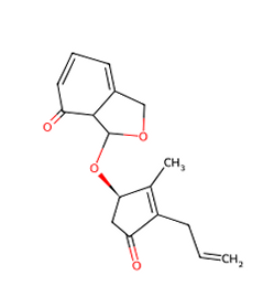 C=CCC1=C(C)[C@H](OC2OCC3=CC=CC(=O)C32)CC1=O